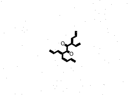 C=C/C=C\C(=C/C=C)C(=O)C(=O)/C(C=C)=C/C=C